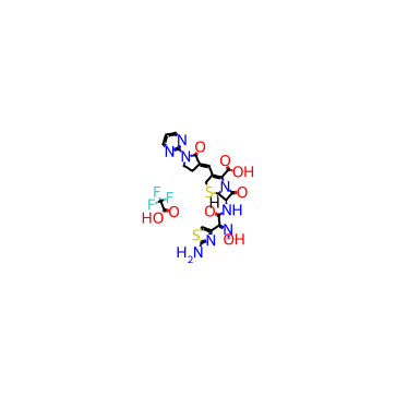 Nc1nc(C(=NO)C(=O)N[C@@H]2C(=O)N3C(C(=O)O)=C(C=C4CCN(c5ncccn5)C4=O)CS[C@H]23)cs1.O=C(O)C(F)(F)F